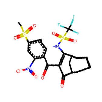 CS(=O)(=O)c1ccc(C(=O)C2=C(NS(=O)(=O)C(F)(F)F)C3CCC(C3)C2=O)c([N+](=O)[O-])c1